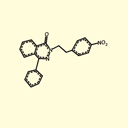 O=c1c2ccccc2c(-c2ccccc2)nn1CCc1ccc([N+](=O)[O-])cc1